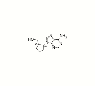 Nc1ncnc2c1ncn2[C@@H]1CCC[C@@H]1CO